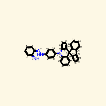 N=C1C=CC=C/C1=N/Nc1ccc(N2c3ccccc3C3(c4ccccc4-c4ccccc43)c3ccccc32)cc1